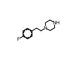 Fc1ccc(C[CH]N2CCNCC2)cc1